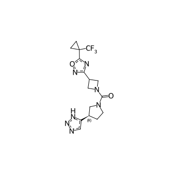 O=C(N1CC(c2noc(C3(C(F)(F)F)CC3)n2)C1)N1CC[C@@H](c2cnn[nH]2)C1